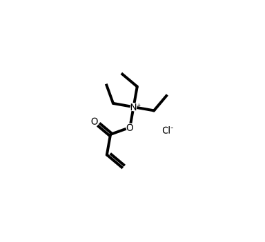 C=CC(=O)O[N+](CC)(CC)CC.[Cl-]